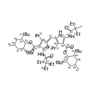 CCC(C)(CC)C(=O)Nc1[nH]c(/C=C2\N=C(NC(=O)C(CC)(CC)CC)C(C(=O)OC3C(C(C)(C)C)CC(C)CC3C(C)(C)C)=C2C(C)C)c(C(C)C)c1C(=O)OC1C(C(C)(C)C)CC(C)CC1C(C)(C)C